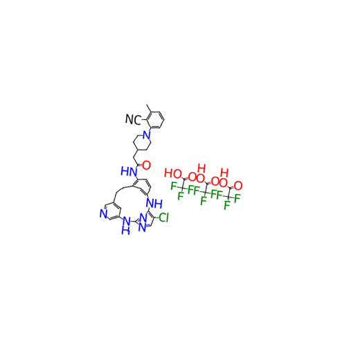 Cc1cccc(N2CCC(CC(=O)Nc3ccc4cc3CCc3cncc(c3)Nc3ncc(Cl)c(n3)N4)CC2)c1C#N.O=C(O)C(F)(F)F.O=C(O)C(F)(F)F.O=C(O)C(F)(F)F